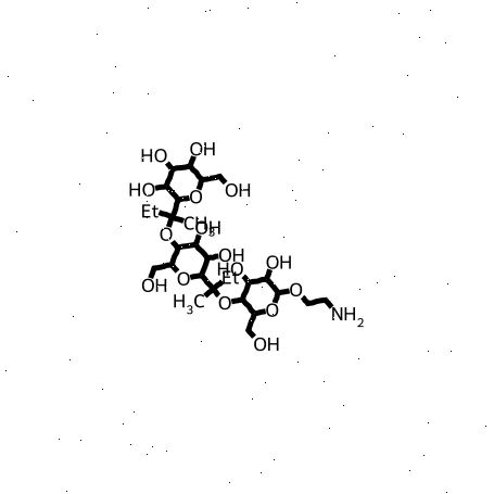 CCC(C)(OC1C(CO)OC(C(C)(CC)OC2C(CO)OC(OCCN)C(O)C2O)C(O)C1O)C1OC(CO)C(O)C(O)C1O